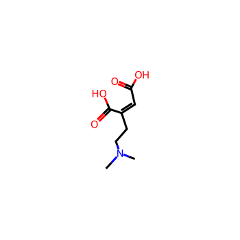 CN(C)CCC(=CC(=O)O)C(=O)O